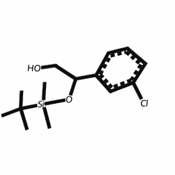 CC(C)(C)[Si](C)(C)OC(CO)c1cccc(Cl)c1